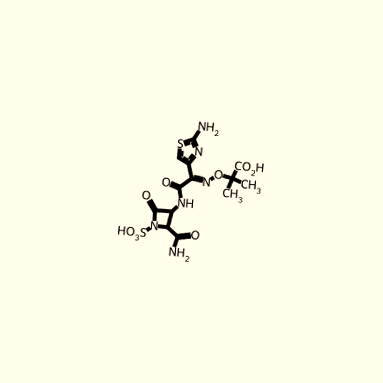 CC(C)(O/N=C(/C(=O)NC1C(=O)N(S(=O)(=O)O)C1C(N)=O)c1csc(N)n1)C(=O)O